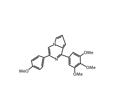 COc1ccc(-c2cn3cccc3c(-c3cc(OC)c(OC)c(OC)c3)n2)cc1